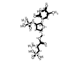 Cc1cn([C@@H]2O[C@H](COC(=O)[C@@H](N)CP(=O)(O)O)CC2OP(N)(=O)O)c(=O)[nH]c1=O